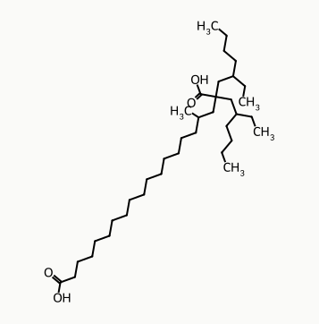 CCCCC(CC)CC(CC(C)CCCCCCCCCCCCCCCC(=O)O)(CC(CC)CCCC)C(=O)O